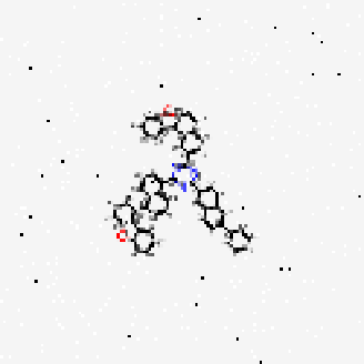 c1ccc(-c2ccc3cc(-c4nc(-c5ccc6ccc7oc8ccccc8c7c6c5)nc(-c5cccc6c(-c7cccc8oc9ccccc9c78)cccc56)n4)ccc3c2)cc1